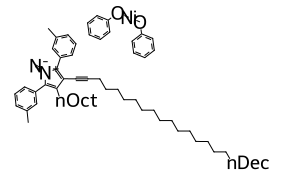 CCCCCCCCCCCCCCCCCCCCCCCCCC#CC1=C(c2cccc(C)c2)[N+](=[N-])C(c2cccc(C)c2)=C1CCCCCCCC.c1ccc([O][Ni][O]c2ccccc2)cc1